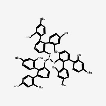 CCCCc1ccc(-c2cccc(OP(Oc3cccc(-c4ccc(CCCC)cc4CCCC)c3-c3ccc(CCCC)cc3CCCC)Oc3cccc(-c4ccc(CCCC)cc4CCCC)c3-c3ccc(CCCC)cc3CCCC)c2-c2ccc(CCCC)cc2CCCC)c(CCCC)c1